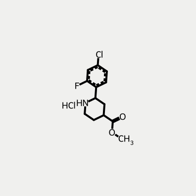 COC(=O)C1CCNC(c2ccc(Cl)cc2F)C1.Cl